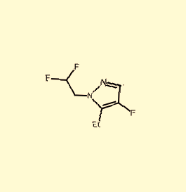 CCc1c(F)[c]nn1CC(F)F